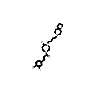 O=C(/C=C/c1ccc(Cl)c(Cl)c1)N1CCC(=O)N(CCCCN2CCC3(CCCO3)CC2)CC1